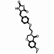 COc1ccc2c(c1)C(=O)N(CCOc1ccc(C=C3NC(=O)SC3=O)cc1)CO2